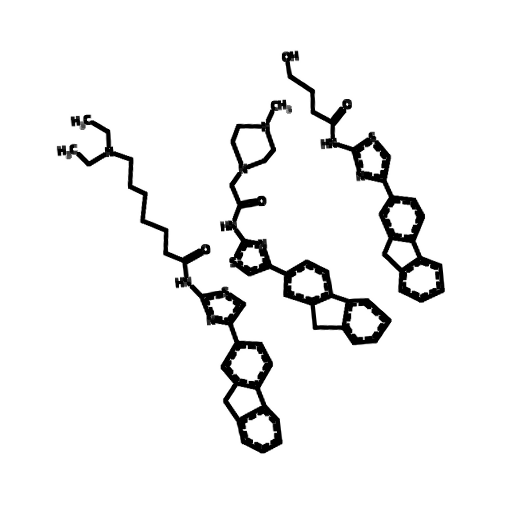 CCN(CC)CCCCCCC(=O)Nc1nc(-c2ccc3c(c2)Cc2ccccc2-3)cs1.CN1CCN(CC(=O)Nc2nc(-c3ccc4c(c3)Cc3ccccc3-4)cs2)CC1.O=C(CCCO)Nc1nc(-c2ccc3c(c2)Cc2ccccc2-3)cs1